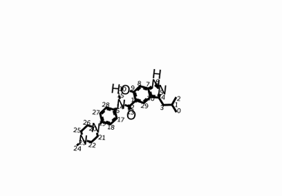 CC(C)Cc1n[nH]c2cc(O)c(C(=O)N(C)c3ccc(N4CCN(C)CC4)cc3)cc12